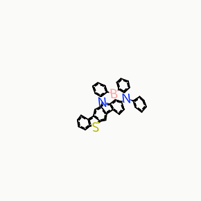 c1ccc(N2c3ccccc3B3c4ccccc4-n4c5cc6c(cc5c5ccc2c3c54)sc2ccccc26)cc1